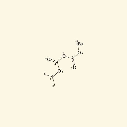 CI(C)OC(=O)OC(=O)OC(C)(C)C